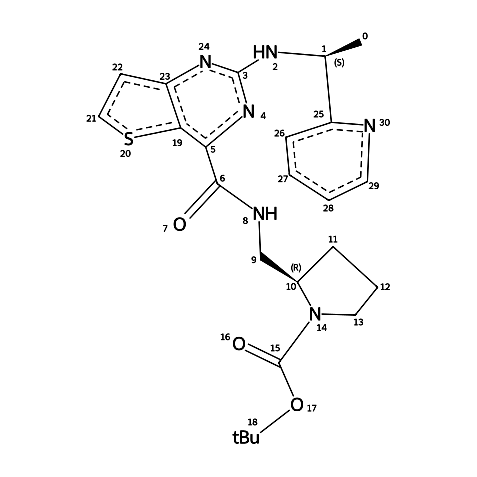 C[C@H](Nc1nc(C(=O)NC[C@H]2CCCN2C(=O)OC(C)(C)C)c2sccc2n1)c1ccccn1